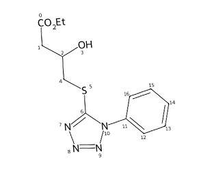 CCOC(=O)CC(O)CSc1nnnn1-c1ccccc1